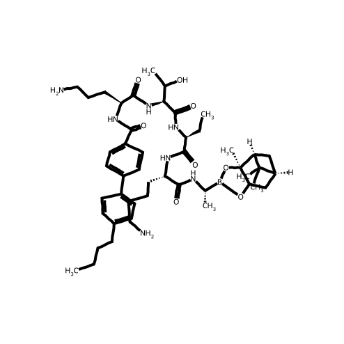 CCCCc1ccc(-c2ccc(C(=O)N[C@@H](CCCN)C(=O)N[C@H](C(=O)N[C@@H](CC)C(=O)N[C@@H](CCCCN)C(=O)N[C@@H](C)B3OC4C[C@@H]5C[C@@H](C5(C)C)[C@]4(C)O3)C(C)O)cc2)cc1